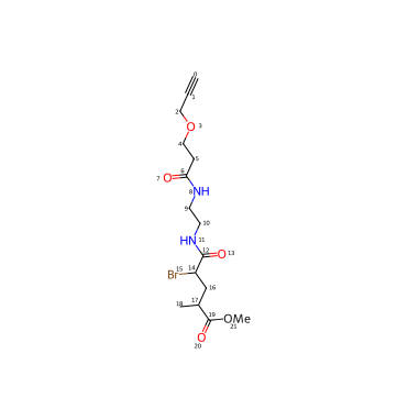 C#CCOCCC(=O)NCCNC(=O)C(Br)CC(C)C(=O)OC